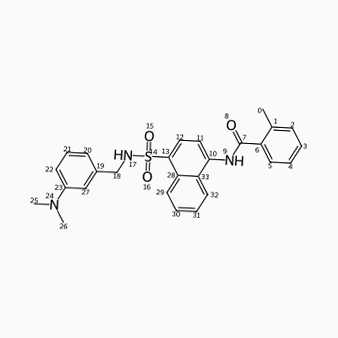 Cc1ccccc1C(=O)Nc1ccc(S(=O)(=O)NCc2cccc(N(C)C)c2)c2ccccc12